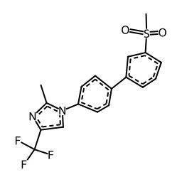 Cc1nc(C(F)(F)F)cn1-c1ccc(-c2cccc(S(C)(=O)=O)c2)cc1